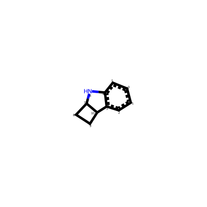 c1ccc2c(c1)NC1CCC21